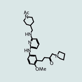 COc1ccc(Nc2cccc(NCC3CCN(C(C)=O)CC3)n2)cc1CCC(=O)CN1CCCC1